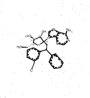 Nc1ncnc2c1ncn2[C@]1(CC(c2ccccc2)c2cccc(Cl)c2)O[C@H](CO)[C@@H](O)[C@H]1O